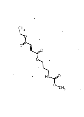 CCOC(=O)/C=C/C(=O)OCCCNC(=O)OC